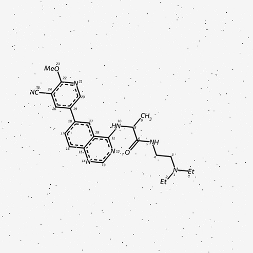 CCN(CC)CCNC(=O)C(C)Nc1ncnc2ccc(-c3cnc(OC)c(C#N)c3)cc12